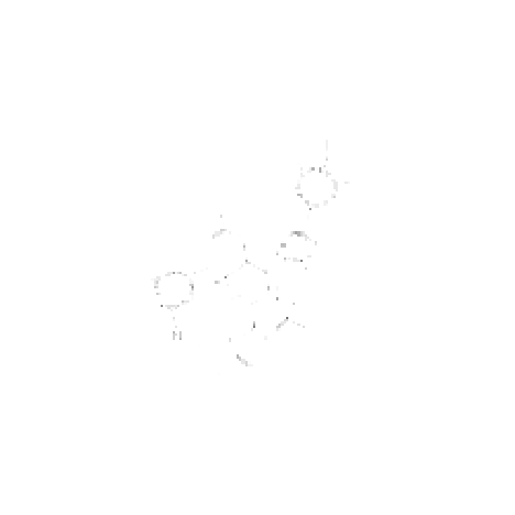 CC(=O)OCC1O[C@H](Sc2ccnc(N)c2)C(OC(C)=O)C(n2cc(-c3cc(F)c(F)c(F)c3)nn2)[C@H]1OC(C)=O